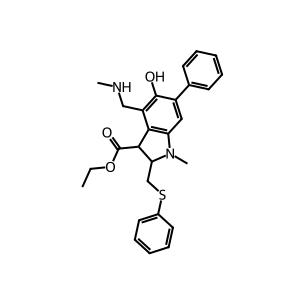 CCOC(=O)C1c2c(cc(-c3ccccc3)c(O)c2CNC)N(C)C1CSc1ccccc1